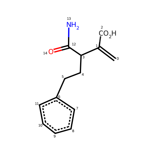 C=C(C(=O)O)C(CCc1ccccc1)C(N)=O